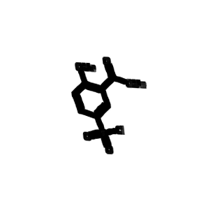 COC(=O)c1cc(S(=O)(=O)Cl)ccc1OC